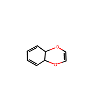 [C]1=COC2C=CC=CC2O1